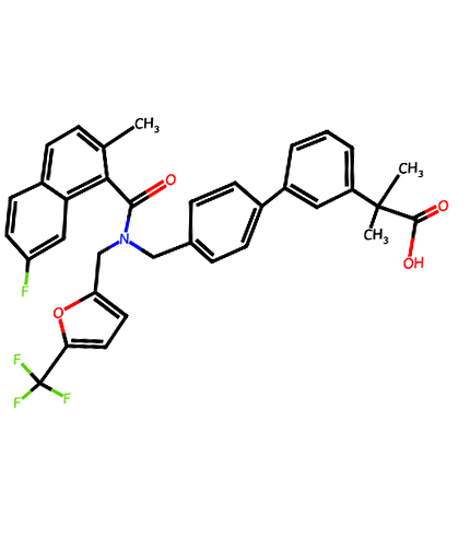 Cc1ccc2ccc(F)cc2c1C(=O)N(Cc1ccc(-c2cccc(C(C)(C)C(=O)O)c2)cc1)Cc1ccc(C(F)(F)F)o1